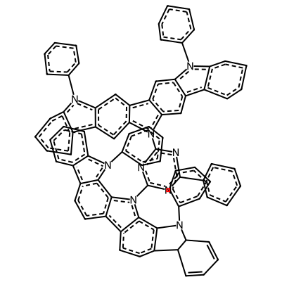 C1=CC2c3ccc4c5ccc6c7ccccc7n(-c7ccccc7)c6c5n(-c5nc(-c6ccccc6)nc(-n6c7cc8c9ccccc9n(-c9ccccc9)c8cc7c7cc8c(cc76)c6ccccc6n8-c6ccccc6)n5)c4c3N(c3ccccc3)C2C=C1